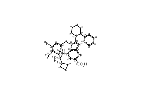 C[C@@H](Nc1nc(C(=O)O)nc2nc(N3CCCCC3c3ccccc3)n(Cc3ccc(C(F)(F)F)c(F)c3)c12)C1CCC1